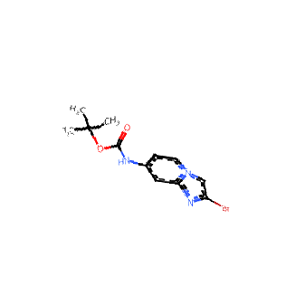 CC(C)(C)OC(=O)Nc1ccn2cc(Br)nc2c1